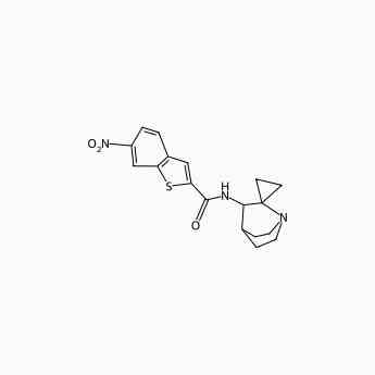 O=C(NC1C2CCN(CC2)C12CC2)c1cc2ccc([N+](=O)[O-])cc2s1